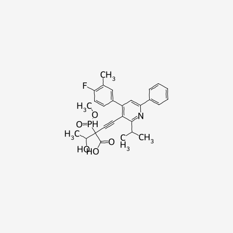 CO[PH](=O)C(C#Cc1c(-c2ccc(F)c(C)c2)cc(-c2ccccc2)nc1C(C)C)(C(=O)O)C(C)O